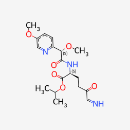 COc1ccc([C@H](OC)C(=O)N[C@@H](CCC(=O)C=N)C(=O)OC(C)C)nc1